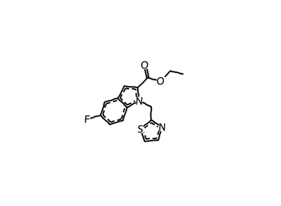 CCOC(=O)c1cc2cc(F)ccc2n1Cc1nccs1